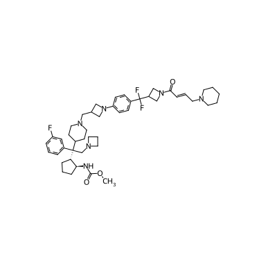 COC(=O)N[C@H]1CCC[C@@H]1C(CN1CCC1)(c1cccc(F)c1)C1CCN(CC2CN(c3ccc(C(F)(F)C4CN(C(=O)/C=C/CN5CCCCC5)C4)cc3)C2)CC1